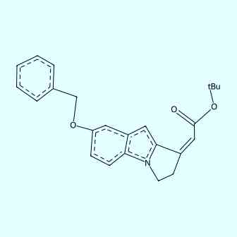 CC(C)(C)OC(=O)/C=C1/CCn2c1cc1cc(OCc3ccccc3)ccc12